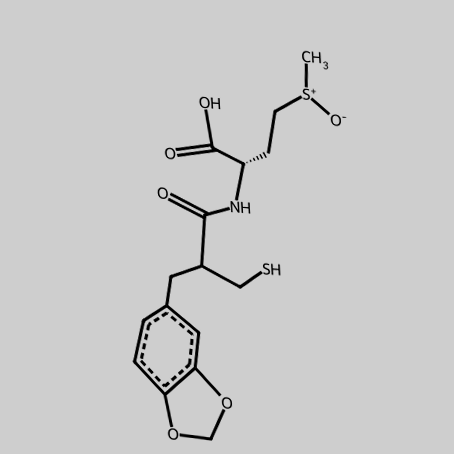 C[S+]([O-])CC[C@H](NC(=O)C(CS)Cc1ccc2c(c1)OCO2)C(=O)O